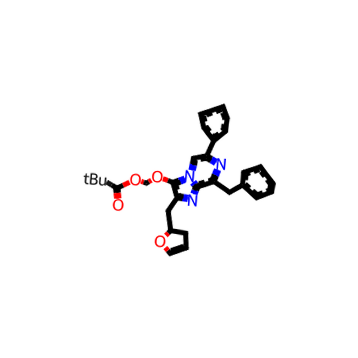 CC(C)(C)C(=O)OCOc1c(CC2CC=CO2)nc2c(Cc3ccccc3)nc(-c3ccccc3)cn12